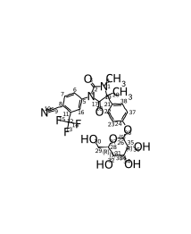 CN1C(=O)N(c2ccc(C#N)c(C(F)(F)F)c2)C(=O)C1(C)c1ccc(O[C@@H]2O[C@H](CO)[C@@H](O)[C@H](O)[C@H]2O)cc1